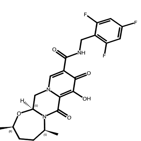 C[C@@H]1CC[C@H](C)N2C(=O)c3c(O)c(=O)c(C(=O)NCc4c(F)cc(F)cc4F)cn3C[C@@H]2O1